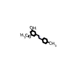 COc1cc(O)cc(/C=C/c2ccc(C)cc2)c1